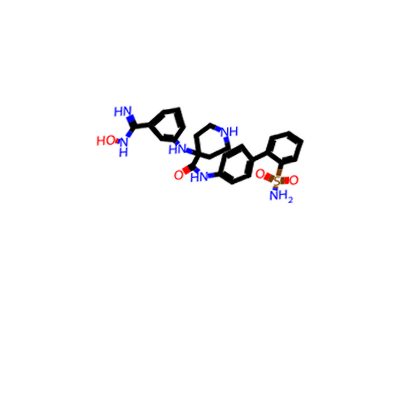 N=C(NO)c1cccc(NC2(C(=O)Nc3ccc(-c4ccccc4S(N)(=O)=O)cc3)CCNCC2)c1